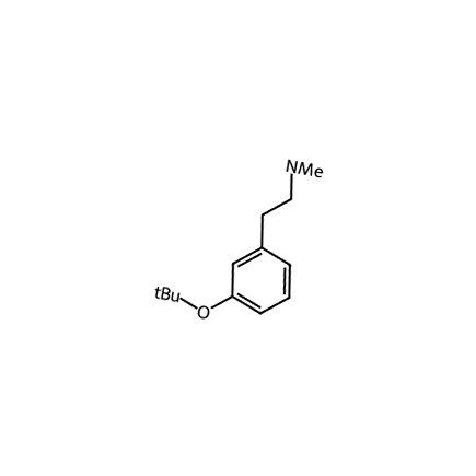 CNCCc1cccc(OC(C)(C)C)c1